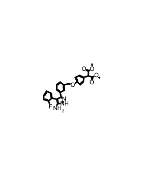 COC(=O)C(C(=O)OC)c1ccc(OCc2cccc(-c3n[nH]c(N)c3-c3ccccc3F)c2)cc1